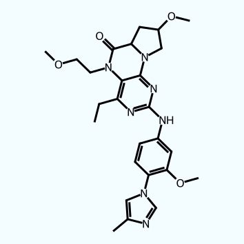 CCc1nc(Nc2ccc(-n3cnc(C)c3)c(OC)c2)nc2c1N(CCOC)C(=O)C1CC(OC)CN21